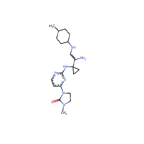 CC1CCC(N/C=C(\N)C2(Nc3nccc(N4CCN(C)C4=O)n3)CC2)CC1